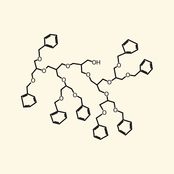 OCC(COCC(COC(COCc1ccccc1)COCc1ccccc1)COC(COCc1ccccc1)COCc1ccccc1)COCC(COC(COCc1ccccc1)COCc1ccccc1)COC(COCc1ccccc1)COCc1ccccc1